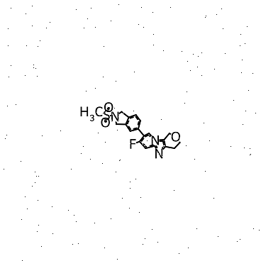 CS(=O)(=O)N1Cc2ccc(-c3cn4c5c(nc4cc3F)CCOC5)cc2C1